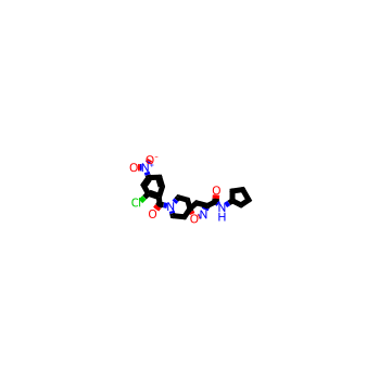 O=C(NC1CCCC1)C1=NOC2(CCN(C(=O)c3ccc([N+](=O)[O-])cc3Cl)CC2)C1